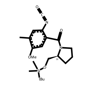 COc1cc(C(=O)N2CCC[C@H]2CO[Si](C)(C)C(C)(C)C)c(N=C=O)cc1C